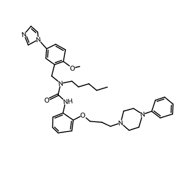 CCCCCN(Cc1cc(-n2ccnc2)ccc1OC)C(=O)Nc1ccccc1OCCCN1CCN(c2ccccc2)CC1